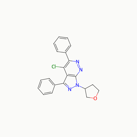 Clc1c(-c2ccccc2)nnc2c1c(-c1ccccc1)nn2C1CCOC1